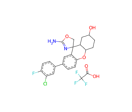 NC1=NC2(CO1)c1cc(-c3ccc(F)c(Cl)c3)ccc1OC1CCC(O)CC12.O=C(O)C(F)(F)F